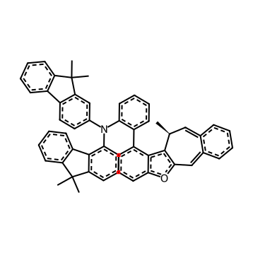 C[C@H]1C=c2ccccc2=Cc2oc3cccc(-c4ccccc4N(c4ccc5c(c4)C(C)(C)c4ccccc4-5)c4cccc5c4-c4ccccc4C5(C)C)c3c21